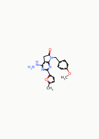 COc1ccc(CN2C(=O)Cc3c(NN)nc(-c4ccc(C)o4)nc32)cc1